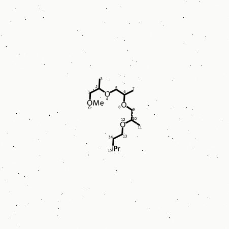 COCC(C)OCC(C)OCC(C)OCCC(C)C